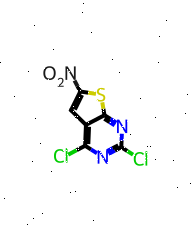 O=[N+]([O-])c1cc2c(Cl)nc(Cl)nc2s1